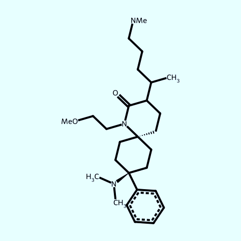 CNCCCC(C)C1CC[C@]2(CC[C@](c3ccccc3)(N(C)C)CC2)N(CCOC)C1=O